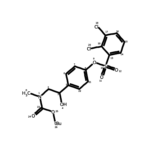 CN(CC(O)c1ccc(OS(=O)(=O)c2cccc(Cl)c2Cl)cc1)C(=O)OC(C)(C)C